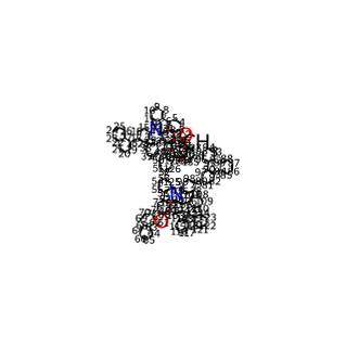 CC12Oc3ccc(-c4ccccc4N(c4ccc(-c5cccc6ccccc56)cc4)c4cccc5c4-c4ccccc4C5(c4ccccc4)c4ccc(-c5ccc(-c6ccc7oc8c9ccccc9ccc8c7c6)c(N(c6ccc(-c7ccc(-c8ccccc8)c(-c8ccccc8)c7)cc6)c6cccc7c6-c6ccccc6C7(c6ccccc6)c6ccccc6)c5)cc4)cc3C1C=Cc1ccccc12